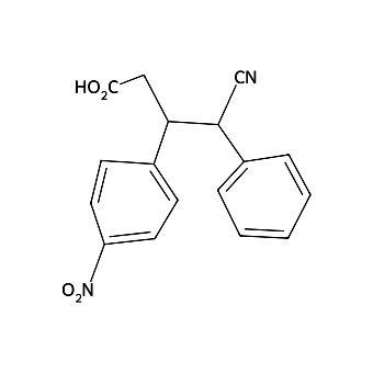 N#CC(c1ccccc1)C(CC(=O)O)c1ccc([N+](=O)[O-])cc1